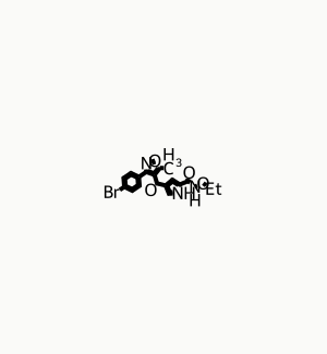 CCONC(=O)c1cc(C(=O)c2c(-c3ccc(Br)cc3)noc2C)c[nH]1